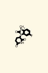 Cn1c(=O)n(C2CCC(=O)NC2=O)c2cc(F)ccc21